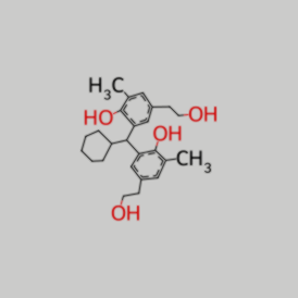 Cc1cc(CCO)cc(C(c2cc(CCO)cc(C)c2O)C2CCCCC2)c1O